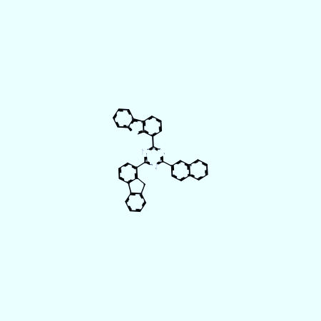 c1ccc2c(c1)Cc1c(-c3nc(-c4ccc5ccccc5c4)nc(-c4cccc5c4sc4ccccc45)n3)cccc1-2